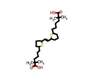 CC(C)(CCCCC1CCCC(C=CC2CCCC(CCCCC(C)(C)C(=O)O)S2)S1)C(=O)O